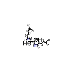 CC(C)=CCC/C(C)=C\[C](O)C(O)/C=C(\C)CCC=C(C)C